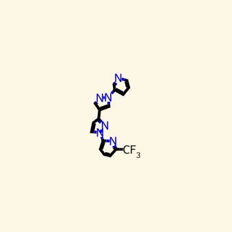 FC(F)(F)c1cccc(-n2ccc(-c3cnn(-c4cccnc4)c3)n2)n1